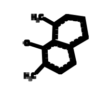 Cc1ccc2cccc(C)c2c1[O]